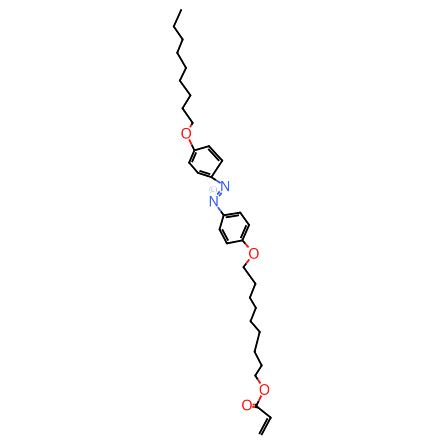 C=CC(=O)OCCCCCCCCCOc1ccc(/N=N/c2ccc(OCCCCCCCCC)cc2)cc1